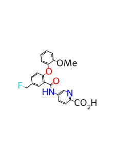 COc1ccccc1Oc1ccc(CF)cc1C(=O)Nc1ccc(C(=O)O)nc1